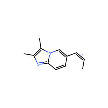 C/C=C\c1ccc2nc(C)c(C)n2c1